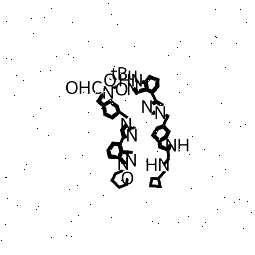 CC(C)(C)OC(=O)n1c(C=O)cc2ccc(Cn3cnc(-c4cccc5c4cnn5C4CCCCO4)c3)cc21.c1cc(-c2cn(Cc3ccc4cc(CNCC5CCC5)[nH]c4c3)cn2)c2cn[nH]c2c1